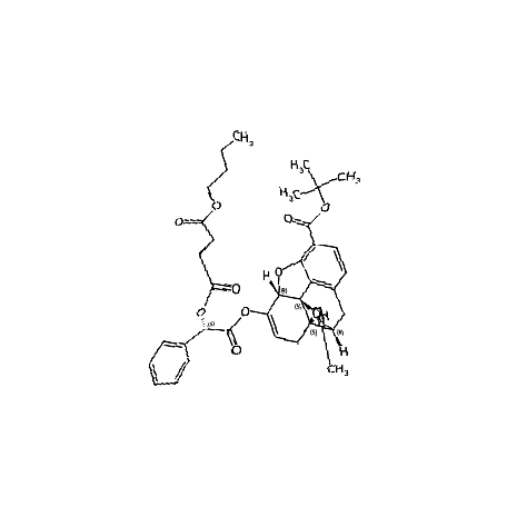 CCCCOC(=O)CCC(=O)O[C@H](C(=O)OC1=CC[C@@]2(O)[C@H]3Cc4ccc(C(=O)OC(C)(C)C)c5c4[C@@]2(CCN3C)[C@H]1O5)c1ccccc1